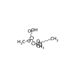 CCCCCCCNC(=O)N(C)c1cccc(-c2ccc(CCC(=O)O)cc2OCCC)c1